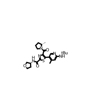 Cc1cc(NC(C)(C)C)ncc1-c1sc(C(=O)N[C@@H]2CCOC2)nc1C(=O)N1CCC[C@@H]1C